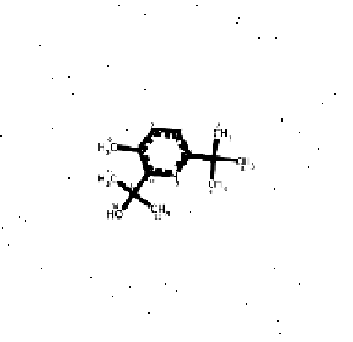 Cc1ccc(C(C)(C)C)nc1C(C)(C)O